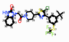 CC(C)(C)c1cc(SC(F)(F)F)cc(-c2nc(C3CCN(C(=O)Cn4c(=O)[nH]c5ccccc54)CC3)sc2Cl)c1